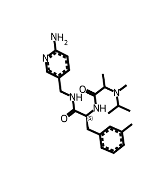 Cc1cccc(C[C@H](NC(=O)C(C)N(C)C(C)C)C(=O)NCc2ccc(N)nc2)c1